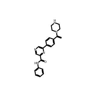 C=C(c1ccc(-c2cncc(C(=O)Nc3ccccc3)n2)cc1)N1CCNCC1